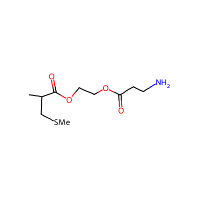 CSCC(C)C(=O)OCCOC(=O)CCN